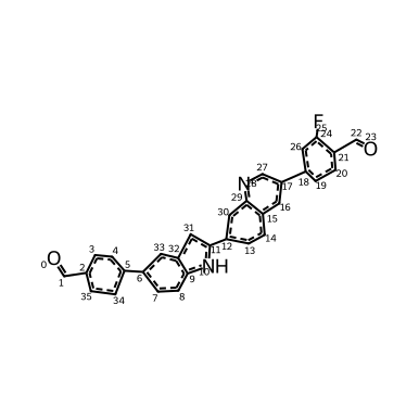 O=Cc1ccc(-c2ccc3[nH]c(-c4ccc5cc(-c6ccc(C=O)c(F)c6)cnc5c4)cc3c2)cc1